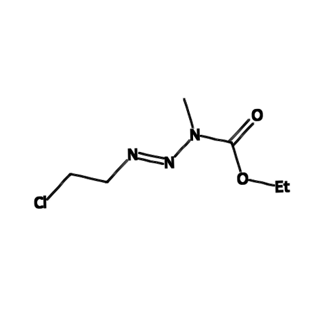 CCOC(=O)N(C)N=NCCCl